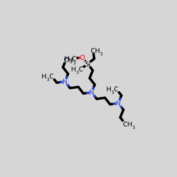 CCCN(CC)CCCN(CCCN(CC)CCC)CCC[Si](C)(CC)OC